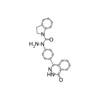 NN(C(=O)N1CCc2ccccc21)c1ccc(-c2n[nH]c(=O)c3ccccc23)cc1